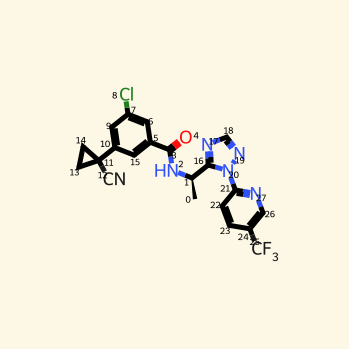 C[C@@H](NC(=O)c1cc(Cl)cc(C2(C#N)CC2)c1)c1ncnn1-c1ccc(C(F)(F)F)cn1